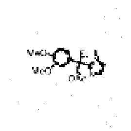 CCC(COC(C)=O)(c1ccc(OC)c(OC)c1)c1nccn1C